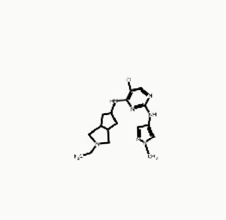 Cn1cc(Nc2ncc(Cl)c(NC3CC4CN(CC(F)(F)F)CC4C3)n2)cn1